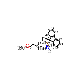 CCC1(S(C)(CCCCCCOC(C)(C)C)N(C)C(C)(C)C)C2=C(C=CCC2)c2ccccc21